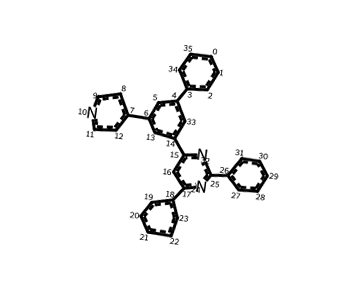 c1ccc(-c2cc(-c3ccncc3)cc(-c3cc(-c4ccccc4)nc(-c4ccccc4)n3)c2)cc1